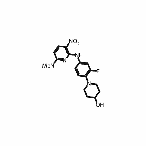 CNc1ccc([N+](=O)[O-])c(Nc2ccc(N3CCC(O)CC3)c(F)c2)n1